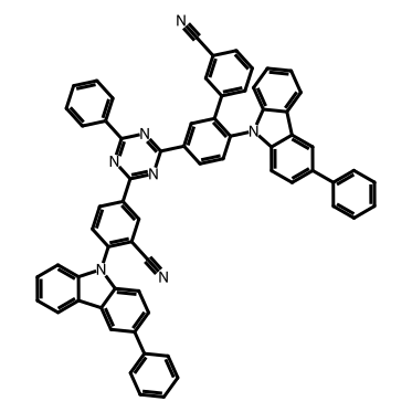 N#Cc1cccc(-c2cc(-c3nc(-c4ccccc4)nc(-c4ccc(-n5c6ccccc6c6cc(-c7ccccc7)ccc65)c(C#N)c4)n3)ccc2-n2c3ccccc3c3cc(-c4ccccc4)ccc32)c1